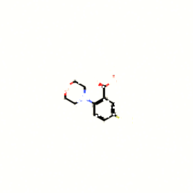 COC(=O)c1cc(S)ccc1N1CCOCC1